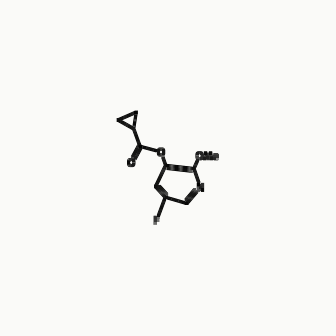 COc1ncc(F)cc1OC(=O)C1CC1